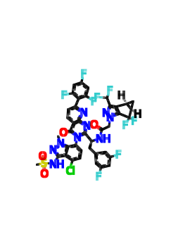 Cn1nc(NS(C)(=O)=O)c2c(Cl)ccc(-n3c([C@H](Cc4cc(F)cc(F)c4)NC(=O)Cn4nc(C(F)F)c5c4C(F)(F)[C@@H]4C[C@H]54)nc4nc(-c5c(F)cc(F)cc5F)ccc4c3=O)c21